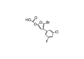 O=C(O)Oc1cc(-c2cc(F)cc(Cl)c2)c(Br)o1